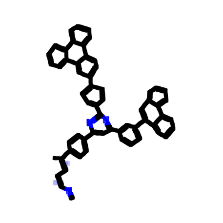 C=N/C=C\C=C(/C)c1ccc(-c2cc(-c3cccc(-c4cc5ccccc5c5ccccc45)c3)nc(-c3ccc(-c4ccc5c6ccccc6c6ccccc6c5c4)cc3)n2)cc1